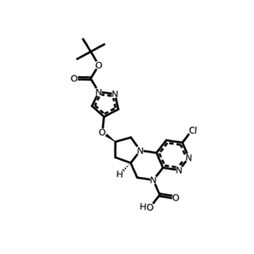 CC(C)(C)OC(=O)n1cc(O[C@@H]2C[C@@H]3CN(C(=O)O)c4nnc(Cl)cc4N3C2)cn1